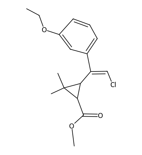 CCOc1cccc(C(=CCl)C2C(C(=O)OC)C2(C)C)c1